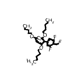 C=CCCCOc1cc(OCCCC=C)c(-c2cc(F)c(CF)c(F)c2)c(OCCCC=C)c1